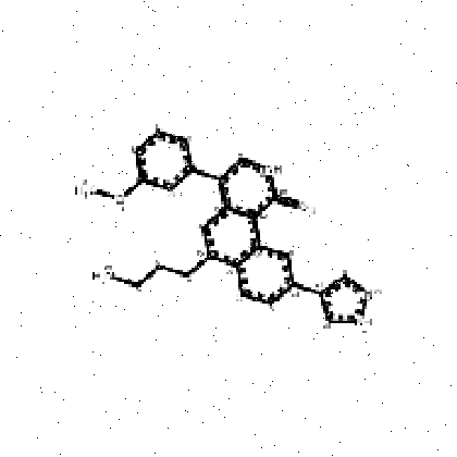 COc1cccc(-c2c[nH]c(=O)c3c2cc(CCCN)c2ccc(-c4cn[nH]c4)cc23)c1